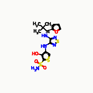 CC(C)(C)[C@@H](Nc1nsnc1Nc1csc(S(N)(=O)=O)c1O)c1ccco1